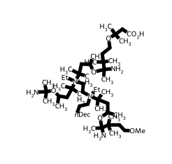 CCCCCCCCCCCC[N+](CC)(CC[N+](CC)(C(C)(C)CC(C)OC(C)(C)N)C(C)(C)CC(C)OC(C)(N)C(C)(C)CCOC(C)(C)CC(=O)O)C(C)(C)CC(C)OC(C)(N)C(C)(C)CCOC